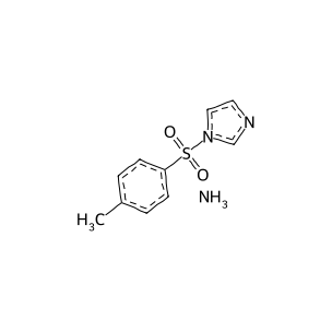 Cc1ccc(S(=O)(=O)n2ccnc2)cc1.N